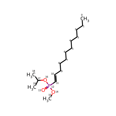 CCCCCCCCCCC=CP(=O)(OC)OC(C)C